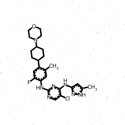 Cc1cc(Nc2nc(Nc3cc(C)c(C4CCC(N5CCOCC5)CC4)cc3F)ncc2Cl)n[nH]1